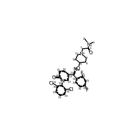 CN(C)C(=O)CN1CCC(ON=C(c2ccc(=O)n(-c3c(Cl)cccc3Cl)c2)c2ccc(F)cc2F)CC1